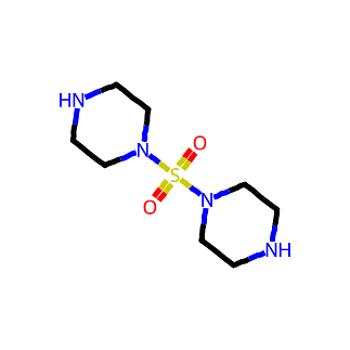 O=S(=O)(N1CCNCC1)N1CCNCC1